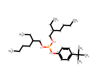 CCCCC(CC)COP(OCC(CC)CCCC)Oc1ccc(C(C)(C)C)cc1